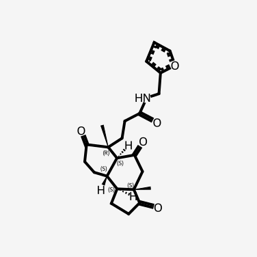 C[C@]1(CCC(=O)NCc2ccco2)C(=O)CC[C@@H]2[C@@H]1C(=O)C[C@]1(C)C(=O)CC[C@@H]21